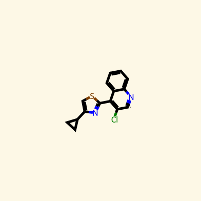 Clc1[c]nc2ccccc2c1-c1nc(C2CC2)cs1